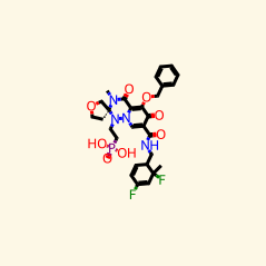 CN1C(=O)c2c(OCc3ccccc3)c(=O)c(C(=O)NCC3C=CC(F)=CC3(C)F)cn2N(CCP(=O)(O)O)[C@]12CCOC2